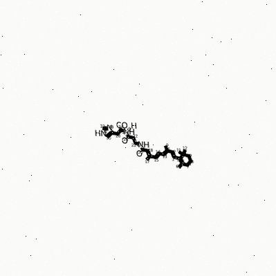 CC(C=CC1=C(C)CCCC1(C)C)=CC=CC(C)=CC(=O)NCCC(=O)NC(Cc1c[nH]cn1)C(=O)O